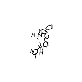 Cc1cncc(C(=O)Nc2cccc(COc3cc(Cl)cnc3N)c2)c1